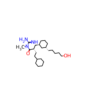 CN(C(=N)N)C(=O)[C@@H](CCC1CCCCC1)C[C@H]1CCC[C@H](CCCCCO)C1